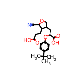 CC(C)(C)c1ccc(O[C@@H](CC2COC(C#N)C2CCC(=O)O)C(=O)O)cc1